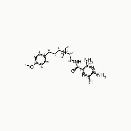 COc1ccc(CCC[N+](C)(C)CCNC(=O)c2nc(Cl)c(N)nc2N)cc1